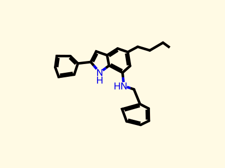 CCCCc1cc(NCc2ccccc2)c2[nH]c(-c3ccccc3)cc2c1